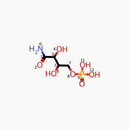 NC(=O)C(O)C(O)COP(=O)(O)O